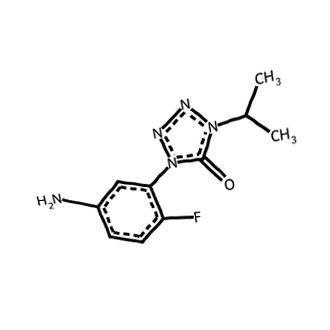 CC(C)n1nnn(-c2cc(N)ccc2F)c1=O